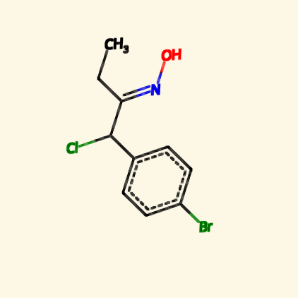 CCC(=NO)C(Cl)c1ccc(Br)cc1